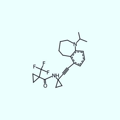 CC(C)N1CCCCc2c(C#CC3(NC(=O)C4(C(F)(F)F)CC4)CC3)cccc21